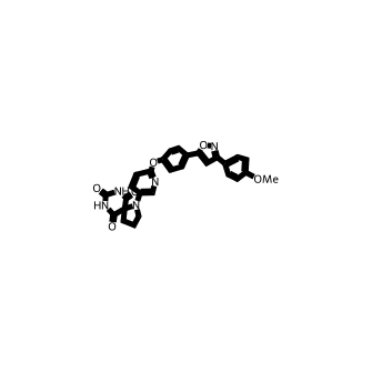 COc1ccc(-c2cc(-c3ccc(Oc4ccc(N5CCCC56C(=O)NC(=O)NC6=O)cn4)cc3)on2)cc1